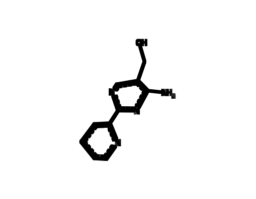 Nc1nc(-c2ccccn2)ncc1CO